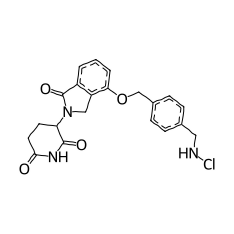 O=C1CCC(N2Cc3c(OCc4ccc(CNCl)cc4)cccc3C2=O)C(=O)N1